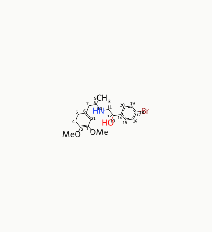 COC1=C(OC)CCC(CC(C)NCC(O)c2ccc(Br)cc2)=C1